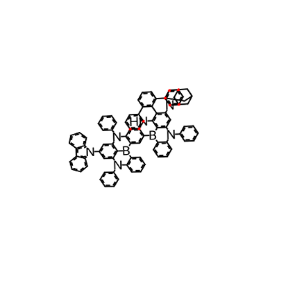 c1ccc(-c2cccc(-c3ccccc3)c2-c2c(N3C4CC5CC(C4)CC3C5)cc3c4c2Nc2cc5c(cc2B4c2ccccc2N3c2ccccc2)B2c3ccccc3N(c3ccccc3)c3cc(-n4c6ccccc6c6ccccc64)cc(c32)N5c2ccccc2)cc1